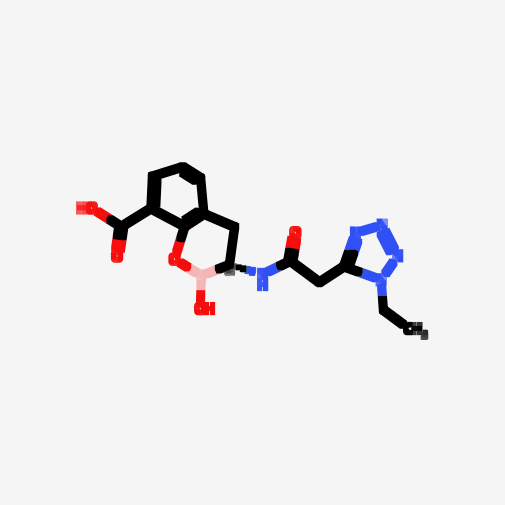 CCn1nnnc1CC(=O)N[C@H]1Cc2cccc(C(=O)O)c2OB1O